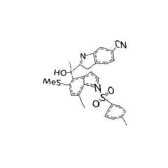 CSc1cc(C)c2c(ccn2S(=O)(=O)c2ccc(C)cc2)c1C(C)(O)C1=Nc2cc(C#N)ccc2C1